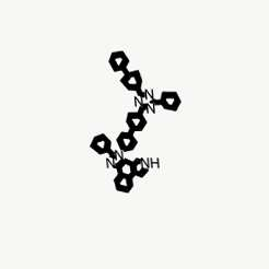 C1=Cc2c(c3c(nc(-c4ccccc4)n3-c3ccc(-c4ccc(-c5nc(-c6ccccc6)nc(-c6ccc(-c7ccccc7)cc6)n5)cc4)cc3)c3ccccc23)CN1